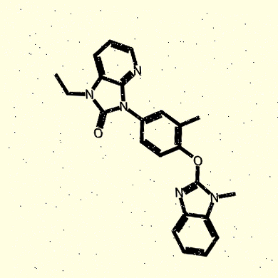 CCn1c(=O)n(-c2ccc(Oc3nc4ccccc4n3C)c(C)c2)c2ncccc21